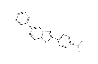 CN(C)c1ccc(-c2nc3cc(-c4cccnc4)ccc3o2)cc1